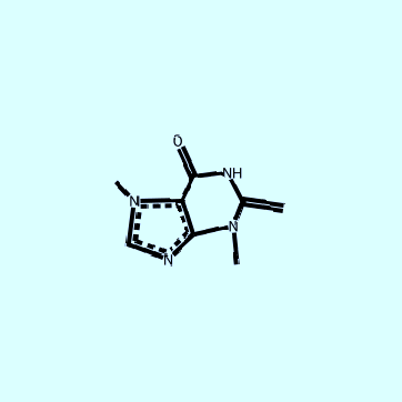 C=C1NC(=O)c2c(ncn2C)N1C